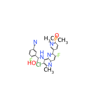 Cc1nc2cc(F)c(-c3ccc(P(C)(C)=O)nc3)nc2c(NC(CO)c2cc(C#N)ccc2F)c1Cl